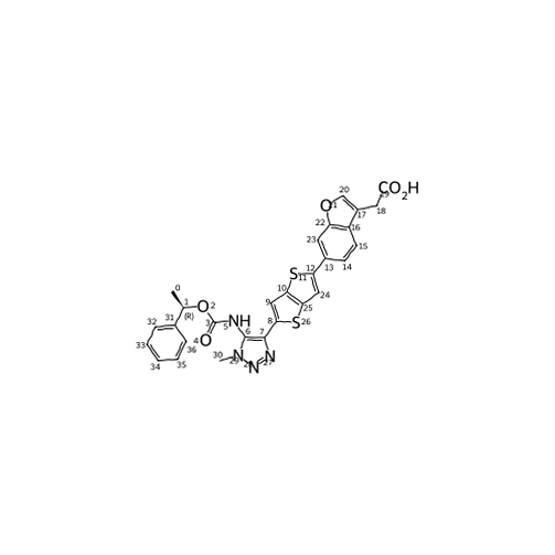 C[C@@H](OC(=O)Nc1c(-c2cc3sc(-c4ccc5c(CC(=O)O)coc5c4)cc3s2)nnn1C)c1ccccc1